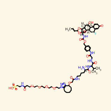 CCCC1O[C@@H]2CC3[C@@H]4C[C@H](F)C5=CC(=O)C=C[C@]5(C)C4[C@@H](O)C[C@]3(C)[C@]2(C(=O)CNC(=O)OCc2ccc(NC(=O)CNC(=O)C(NC(=O)[C@H](N)CCCCNC(=O)COC3CCCCCc4c3nnn4CCOCCOCCOCCOCCC(=O)NCCS(=O)(=O)O)C(C)C)cc2)O1